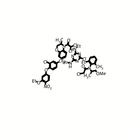 CC1COc2ccccc2N1C(=O)C(Cl)Cl.CCNc1nc(Cl)nc(NC(C)C)n1.CCOc1cc(Oc2ccc(C(F)(F)F)cc2Cl)ccc1[N+](=O)[O-].CCc1cccc(C)c1N(C(=O)CCl)C(C)COC